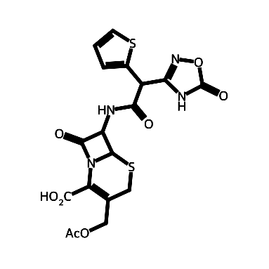 CC(=O)OCC1=C(C(=O)O)N2C(=O)C(NC(=O)C(c3noc(=O)[nH]3)c3cccs3)C2SC1